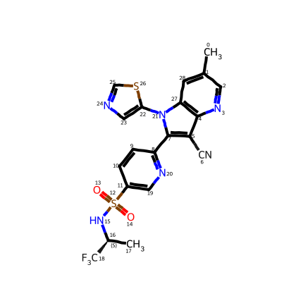 Cc1cnc2c(C#N)c(-c3ccc(S(=O)(=O)N[C@@H](C)C(F)(F)F)cn3)n(-c3cncs3)c2c1